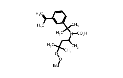 C=C(C)c1cccc(C(C)(C)N(C(=O)O)C(C)CC(C)(C)OOC(C)(C)C)c1